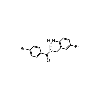 Nc1ccc(Br)cc1CNC(=O)c1ccc(Br)cc1